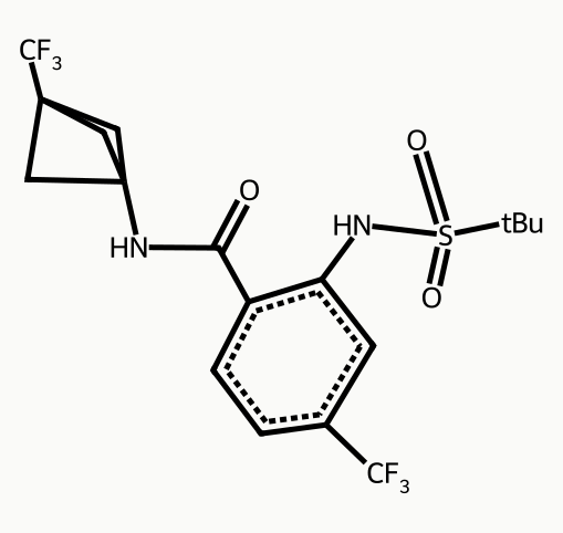 CC(C)(C)S(=O)(=O)Nc1cc(C(F)(F)F)ccc1C(=O)NC12CC(C(F)(F)F)(C1)C2